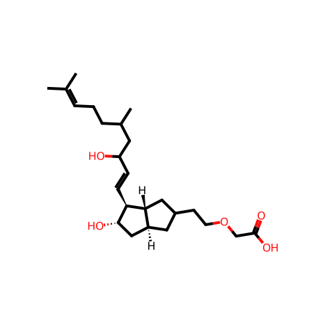 CC(C)=CCCC(C)CC(O)C=C[C@H]1[C@@H]2CC(CCOCC(=O)O)C[C@H]2C[C@@H]1O